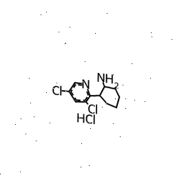 Cl.NC1CCCCC1c1ncc(Cl)cc1Cl